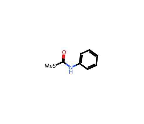 CSC(=O)Nc1cc[c]cc1